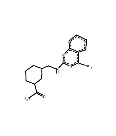 NC(=O)C1CCCC(CNc2nc(N)c3ccccc3n2)C1